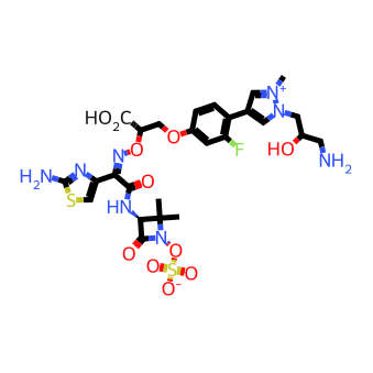 C[n+]1cc(-c2ccc(OCC(O/N=C(\C(=O)N[C@@H]3C(=O)N(OS(=O)(=O)[O-])C3(C)C)c3csc(N)n3)C(=O)O)cc2F)cn1CC(O)CN